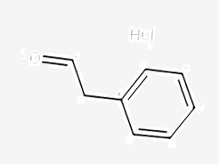 Cl.O=CCc1ccccc1